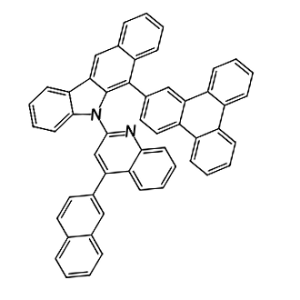 c1ccc2cc(-c3cc(-n4c5ccccc5c5cc6ccccc6c(-c6ccc7c8ccccc8c8ccccc8c7c6)c54)nc4ccccc34)ccc2c1